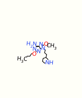 CCCCOc1nc(N)c2nc(OC)n(CCCC3CCCNC3)c2n1